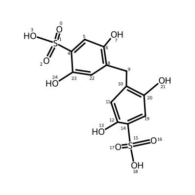 O=S(=O)(O)c1cc(O)c(Cc2cc(O)c(S(=O)(=O)O)cc2O)cc1O